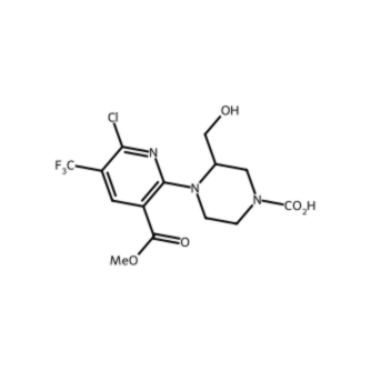 COC(=O)c1cc(C(F)(F)F)c(Cl)nc1N1CCN(C(=O)O)CC1CO